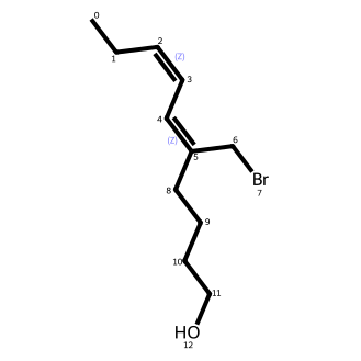 CC/C=C\C=C(/CBr)CCCCO